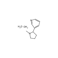 CN1CCCC1c1cccnc1.O.O